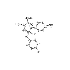 COC(=O)[C@H](C)NP(=O)(Oc1ccc(F)cc1)Oc1ccc([N+](=O)[O-])cc1